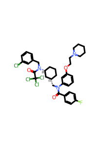 O=C(c1ccc(F)cc1)N(C[C@H]1CCC[C@@H](N(Cc2cccc(Cl)c2)C(=O)C(Cl)(Cl)Cl)C1)c1cccc(OCCN2CCCCC2)c1